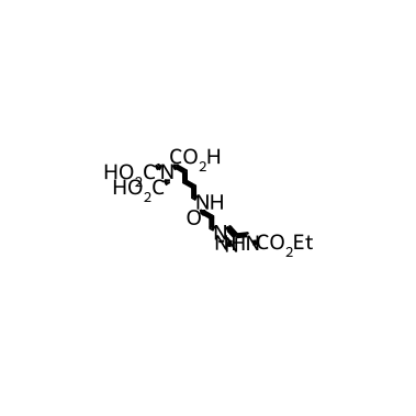 CCOC(=O)NCc1cn(CCC(=O)NCCCCC(C(=O)O)N(CC(=O)O)CC(=O)O)nn1